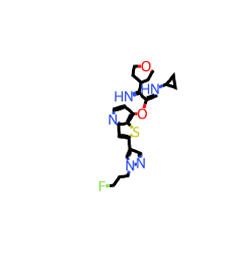 N=C(/C(=C\NC1CC1)Oc1ccnc2cc(-c3cnn(CCCF)c3)sc12)C1CCOCC1